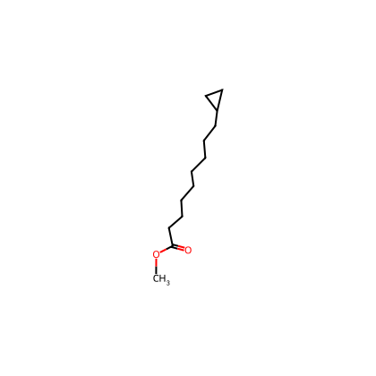 COC(=O)CCCCCCCCC1CC1